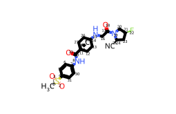 CS(=O)(=O)c1ccc(NC(=O)C23CCC(NCC(=O)N4C[C@@H](F)C[C@H]4C#N)(CC2)CC3)cc1